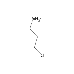 [SiH2]CCCCl